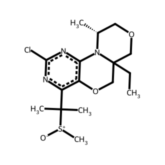 CCC12COC[C@@H](C)N1c1nc(Cl)nc(C(C)(C)[S+](C)[O-])c1OC2